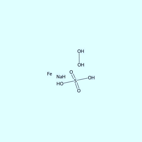 O=S(=O)(O)O.OO.[Fe].[NaH]